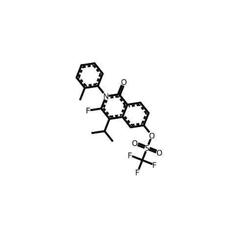 Cc1ccccc1-n1c(F)c(C(C)C)c2cc(OS(=O)(=O)C(F)(F)F)ccc2c1=O